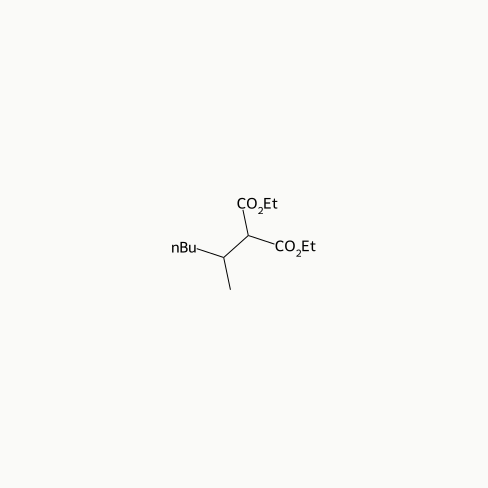 CCCCC(C)C(C(=O)OCC)C(=O)OCC